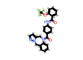 O=C(Nc1ccc(C(=O)N2Cc3ccnn3Cc3ccccc32)cc1)c1ccccc1OC(F)(F)F